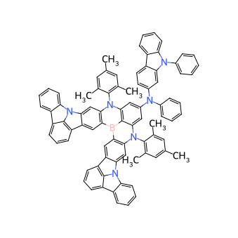 Cc1cc(C)c(N2c3cc4c(cc3B3c5cc6c7cccc8c9ccccc9n(c6cc5N(c5c(C)cc(C)cc5C)c5cc(N(c6ccccc6)c6ccc9c%10ccccc%10n(-c%10ccccc%10)c9c6)cc2c53)c87)c2cccc3c5ccccc5n4c32)c(C)c1